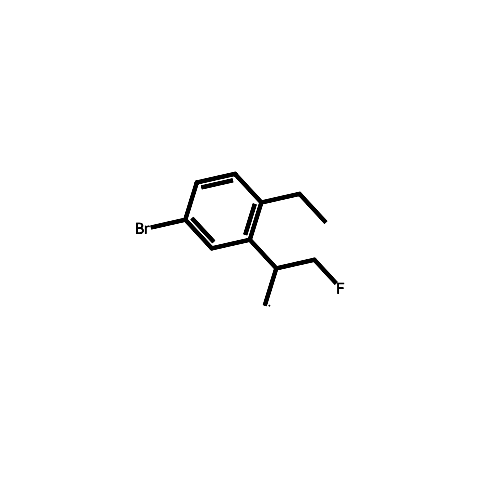 [CH2]C(CF)c1cc(Br)ccc1CC